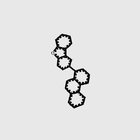 [c]1c(-c2cccc3c2ccc2ccccc23)ccc2oc3ccccc3c12